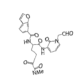 CNC(=O)C(=O)CCC(NC(=O)c1ccc2ccoc2c1)C(=O)Nc1cccn(CC=O)c1=O